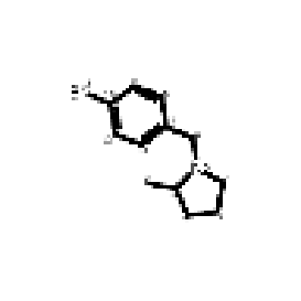 CC1CCCN1Cc1ccc(Br)cc1